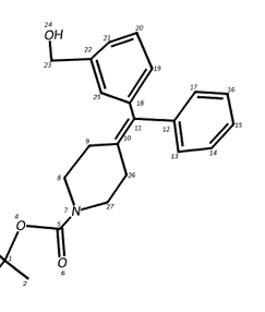 CC(C)(C)OC(=O)N1CCC(=C(c2ccccc2)c2cccc(CO)c2)CC1